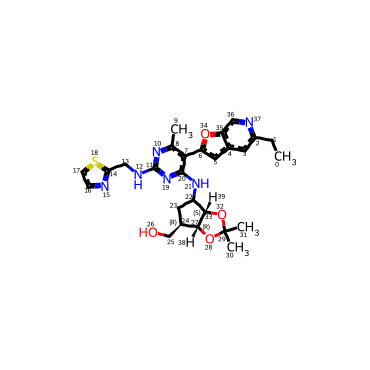 CCc1cc2cc(-c3c(C)nc(NCc4nccs4)nc3NC3C[C@H](CO)[C@H]4OC(C)(C)O[C@@H]34)oc2cn1